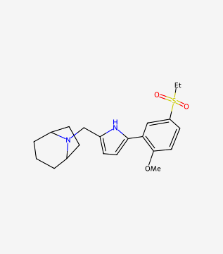 CCS(=O)(=O)c1ccc(OC)c(-c2ccc(CN3C4CCCC3CC4)[nH]2)c1